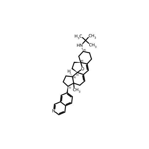 CC(C)(C)N[C@@H]1CCC2=CC3=CCC4(C)[C@@H](c5ccc6ccncc6c5)CC[C@H]4[C@@]34CC[C@]2(C1)O4